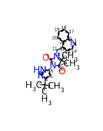 CC(C)(C)c1cc(N2C(=O)N(Cc3ccnc4ccccc34)C(C)(C)C2=O)[nH]n1